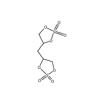 O=S1(=O)OCC(CC2COS(=O)(=O)O2)O1